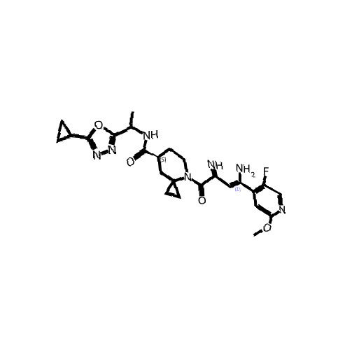 COc1cc(/C(N)=C/C(=N)C(=O)N2CC[C@H](C(=O)NC(C)c3nnc(C4CC4)o3)CC23CC3)c(F)cn1